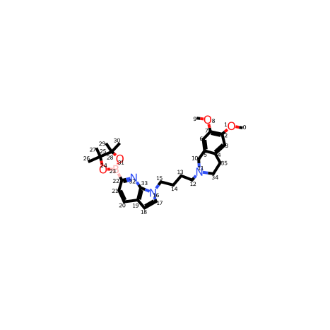 COc1cc2c(cc1OC)CN(CCCCn1ccc3ccc(B4OC(C)(C)C(C)(C)O4)nc31)CC2